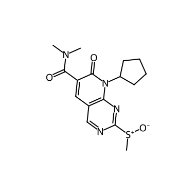 CN(C)C(=O)c1cc2cnc([S+](C)[O-])nc2n(C2CCCC2)c1=O